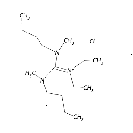 CCCCN(C)C(N(C)CCCC)=[N+](CC)CC.[Cl-]